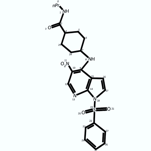 CCCNC(=O)C1CCC(Nc2c([N+](=O)[O-])cnc3c2ccn3S(=O)(=O)c2ccccc2)CC1